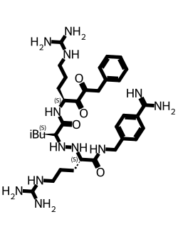 CC[C@H](C)C(NN[C@@H](CCCNC(N)N)C(=O)NCc1ccc(C(=N)N)cc1)C(=O)N[C@@H](CCCNC(N)N)C(=O)C(=O)Cc1ccccc1